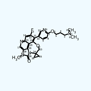 CN(C)CCCOc1ccc(-c2c(F)cc3ncc4c5c3c2OCC2(CC2)n5c(=O)n4C)cn1